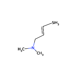 CN(C)CC=C[SiH3]